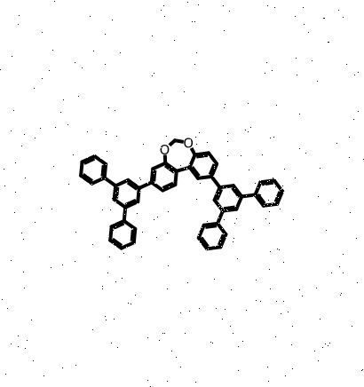 c1ccc(-c2cc(-c3ccccc3)cc(-c3ccc4c(c3)OCOc3ccc(-c5cc(-c6ccccc6)cc(-c6ccccc6)c5)cc3-4)c2)cc1